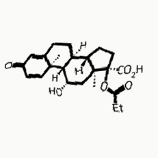 CCC(=O)O[C@]1(C(=O)O)CC[C@H]2[C@@H]3CCC4=CC(=O)C=C[C@]4(C)[C@H]3[C@@H](O)C[C@@]21C